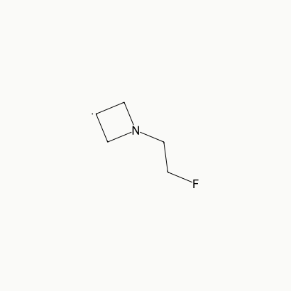 FCCN1C[CH]C1